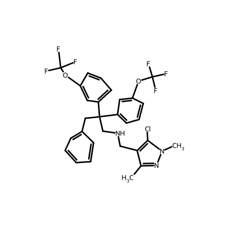 Cc1nn(C)c(Cl)c1CNCC(Cc1ccccc1)(c1cccc(OC(F)(F)F)c1)c1cccc(OC(F)(F)F)c1